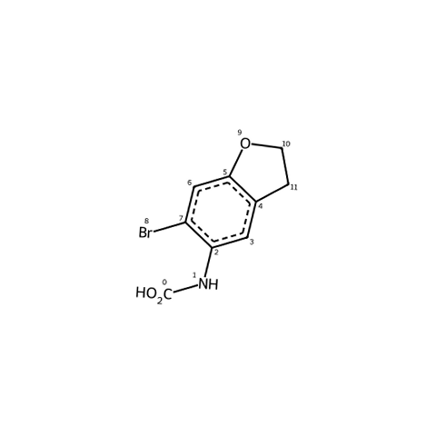 O=C(O)Nc1cc2c(cc1Br)OCC2